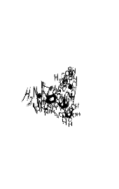 CN[C@@H]1[C@H](O[C@H]2[C@H](O[C@H]3[C@H](O)[C@@H](O)[C@H](NC(=N)N)[C@@H](O)[C@@H]3NC(=N)N)O[C@@H](C)[C@]2(O)CO)O[C@@H](CO)[C@H](O)[C@H]1O.COP(=O)(OC)OC=C(Cl)Cl.O=S(=O)(O)O